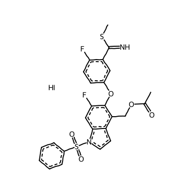 CSC(=N)c1cc(Oc2c(F)cc3c(ccn3S(=O)(=O)c3ccccc3)c2COC(C)=O)ccc1F.I